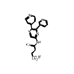 O=C(O)CCC(=O)Nc1cnc(-c2ccncc2)c(-c2cccnc2)n1